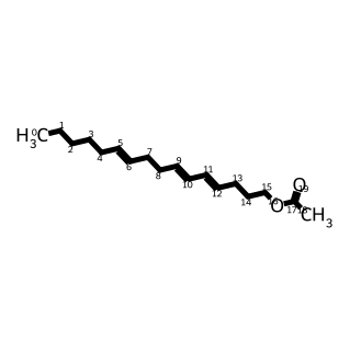 CCCCCC=CCCC=CC=CCCCOC(C)=O